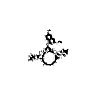 CCOc1cc2cc(OC)ccc2c(O[C@@H]2C[C@H]3C(=O)N[C@]4(C(=O)NS(=O)(=O)C5(C)CC5)CC4/C=C\CC[C@@H](C)C[C@@H](C)[C@H](NC(=O)OC(C)(C)C(F)(F)F)C(=O)N3C2)n1